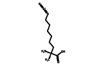 C[C@@](N)(CCCCCCN=[N+]=[N-])C(=O)O